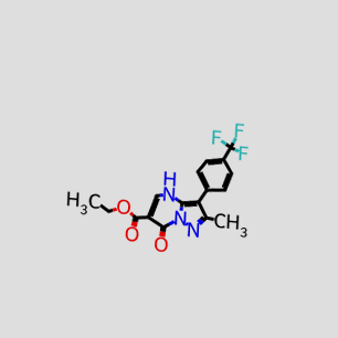 CCOC(=O)c1c[nH]c2c(-c3ccc(C(F)(F)F)cc3)c(C)nn2c1=O